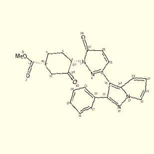 COC(=O)[C@@H]1CC[C@H](n2nc(-c3c(-c4ccccc4)nn4ccccc34)ccc2=O)C(=O)C1